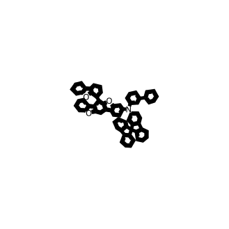 c1ccc(-c2cccc(N(c3ccc4c(c3)C3(c5ccccc5-c5ccccc53)c3ccccc3-4)c3ccc4c(c3)oc3c(-c5cccc6c5oc5ccccc56)c5c(cc34)oc3ccccc35)c2)cc1